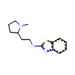 CN1CCCC1CCNc1nc2ccccc2s1